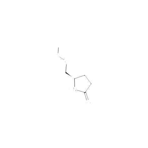 O=C1CC[C@H](COSI)N1